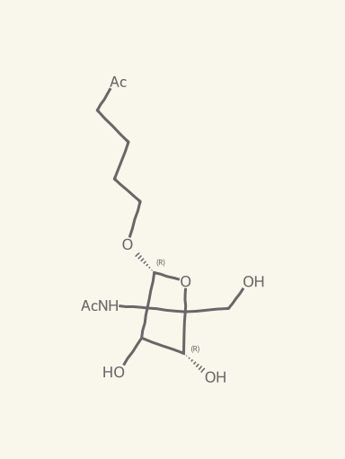 CC(=O)CCCCO[C@@H]1OC2(CO)[C@H](O)C(O)C12NC(C)=O